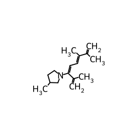 C=C(C)/C(C)=C/C=C(\C(=C)C)N1CCC(C)C1